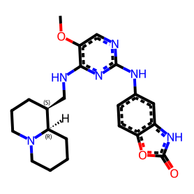 COc1cnc(Nc2ccc3oc(=O)[nH]c3c2)nc1NC[C@@H]1CCCN2CCCC[C@H]12